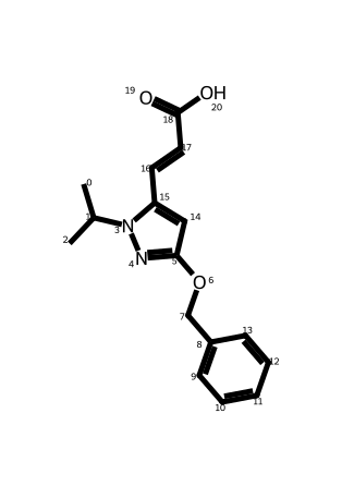 CC(C)n1nc(OCc2ccccc2)cc1C=CC(=O)O